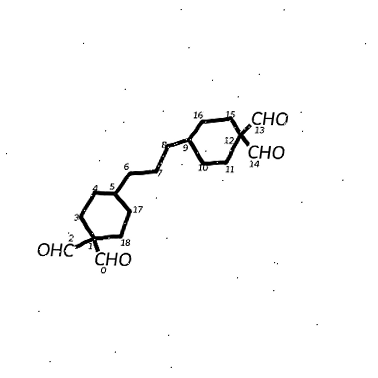 O=CC1(C=O)CCC(CCCC2CCC(C=O)(C=O)CC2)CC1